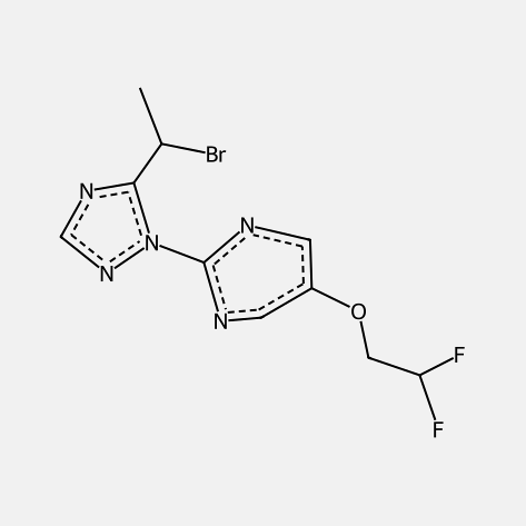 CC(Br)c1ncnn1-c1ncc(OCC(F)F)cn1